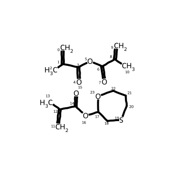 C=C(C)C(=O)OC(=O)C(=C)C.C=C(C)C(=O)OC1CSCCCO1